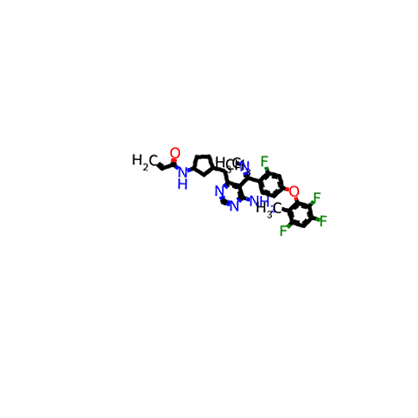 C=CC(=O)NC1CCC(C(C)c2ncnc(N)c2/C(=N\C)c2ccc(Oc3c(C)c(F)cc(F)c3F)cc2F)C1